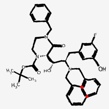 CC(C)(C)OC(=O)N1CCN(Cc2ccccc2)C(=O)[C@@H]1[C@@H](O)[C@@H](Cc1cc(O)cc(F)c1)N(Cc1ccccc1)Cc1ccccc1